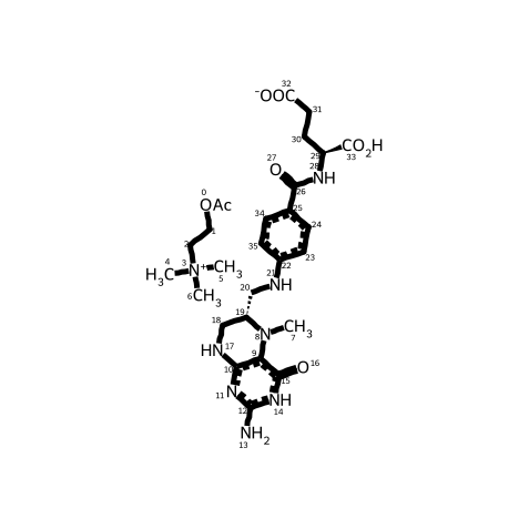 CC(=O)OCC[N+](C)(C)C.CN1c2c(nc(N)[nH]c2=O)NC[C@@H]1CNc1ccc(C(=O)N[C@@H](CCC(=O)[O-])C(=O)O)cc1